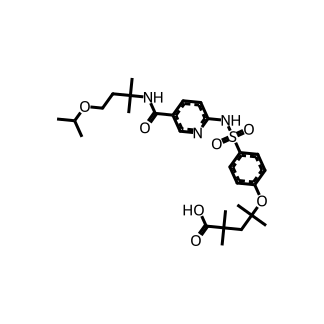 CC(C)OCCC(C)(C)NC(=O)c1ccc(NS(=O)(=O)c2ccc(OC(C)(C)CC(C)(C)C(=O)O)cc2)nc1